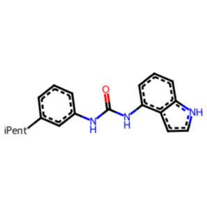 CCCC(C)c1cccc(NC(=O)Nc2cccc3[nH]ccc23)c1